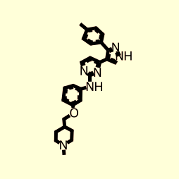 Cc1ccc(-c2n[nH]cc2-c2ccnc(Nc3cccc(OCC4CCN(C)CC4)c3)n2)cc1